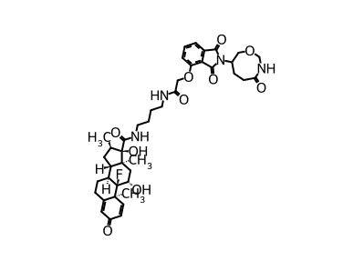 C[C@@H]1C[C@H]2[C@@H]3CCC4=CC(=O)C=C[C@]4(C)[C@@]3(F)[C@@H](O)C[C@]2(C)[C@@]1(O)C(=O)NCCCCNC(=O)COc1cccc2c1C(=O)N(C1CCC(=O)NCOC1)C2=O